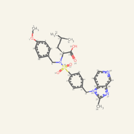 COc1ccc(CN([C@@H](CC(C)C)C(=O)O)S(=O)(=O)c2ccc(Cn3c(C)nc4cnccc43)cc2)cc1